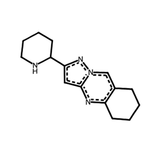 c1c(C2CCCCN2)nn2cc3c(nc12)CCCC3